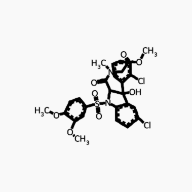 COC(=O)CN(C)C(=O)C1N(S(=O)(=O)c2ccc(OC)c(OC)c2)c2ccc(Cl)cc2C1(O)c1ccccc1Cl